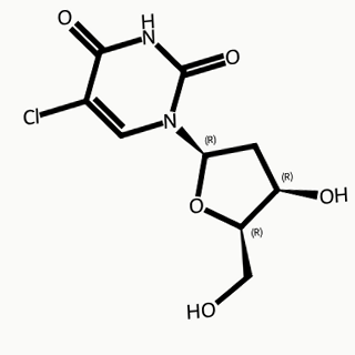 O=c1[nH]c(=O)n([C@H]2C[C@@H](O)[C@@H](CO)O2)cc1Cl